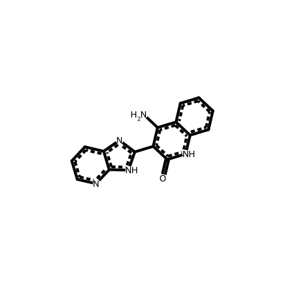 Nc1c(-c2nc3cccnc3[nH]2)c(=O)[nH]c2ccccc12